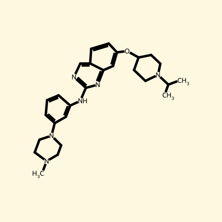 CC(C)N1CCC(Oc2ccc3cnc(Nc4cccc(N5CCN(C)CC5)c4)nc3c2)CC1